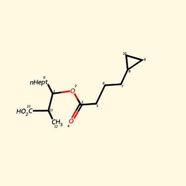 CCCCCCCC(OC(=O)CCCC1CC1)C(C)C(=O)O